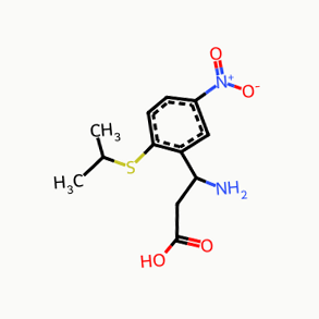 CC(C)Sc1ccc([N+](=O)[O-])cc1C(N)CC(=O)O